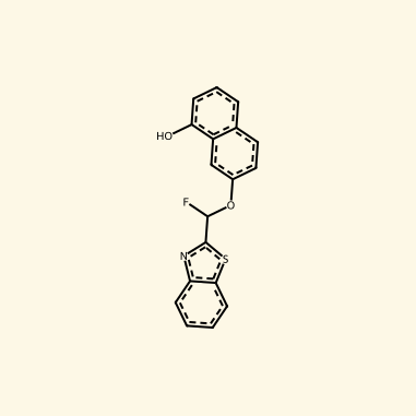 Oc1cccc2ccc(OC(F)c3nc4ccccc4s3)cc12